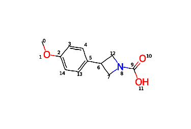 COc1ccc(C2CN(C(=O)O)C2)cc1